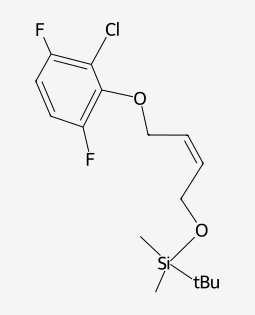 CC(C)(C)[Si](C)(C)OC/C=C\COc1c(F)ccc(F)c1Cl